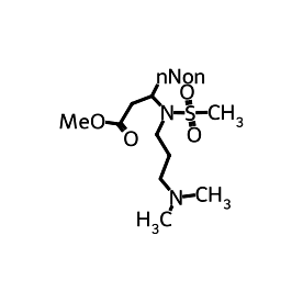 CCCCCCCCCC(CC(=O)OC)N(CCCN(C)C)S(C)(=O)=O